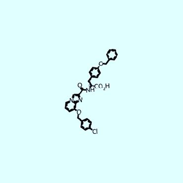 O=C(N[C@@H](Cc1ccc(OCc2ccccc2)cc1)C(=O)O)c1cn2cccc(OCc3ccc(Cl)cc3)c2n1